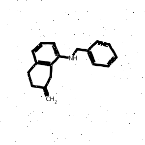 C=C1CCc2cccc(NCc3ccccc3)c2C1